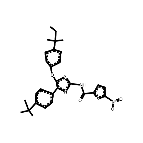 CCC(C)(C)c1ccc(Oc2sc(NC(=O)c3ccc([N+](=O)[O-])s3)nc2-c2ccc(C(C)(C)C)cc2)cc1